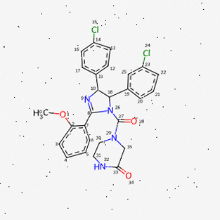 COc1ccccc1C1=NC(c2ccc(Cl)cc2)C(c2cccc(Cl)c2)N1C(=O)N1CCNC(=O)C1